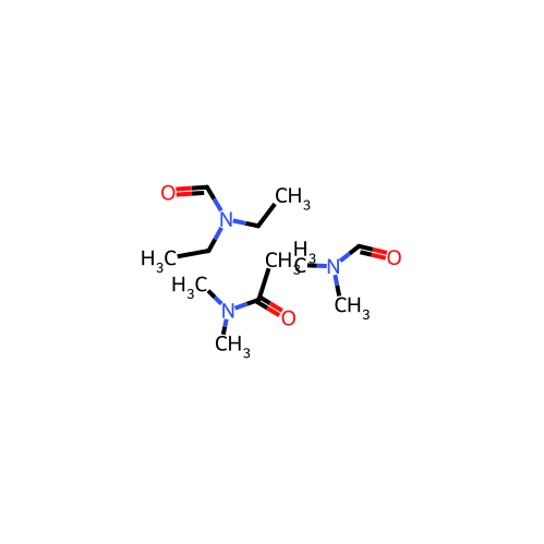 CC(=O)N(C)C.CCN(C=O)CC.CN(C)C=O